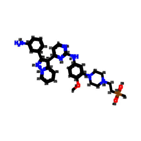 COc1ccc(Nc2nccc(-c3c(-c4cccc(N)c4)nn4ccccc34)n2)cc1N1CCN(CCS(C)(=O)=O)CC1